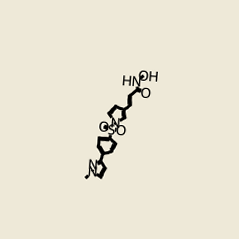 Cn1ccc(-c2ccc(S(=O)(=O)n3ccc(/C=C/C(=O)NO)c3)cc2)n1